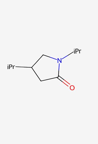 CC(C)C1CC(=O)N(C(C)C)C1